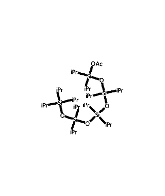 CC(=O)O[Si](O[Si](O[Si](O[Si](O[Si](C(C)C)(C(C)C)C(C)C)(C(C)C)C(C)C)(C(C)C)C(C)C)(C(C)C)C(C)C)(C(C)C)C(C)C